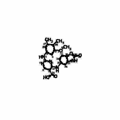 COc1cc(Nc2ncc(C(=O)O)c(Nc3ccc4oc(=O)[nH]c4c3)n2)cc(C)c1C